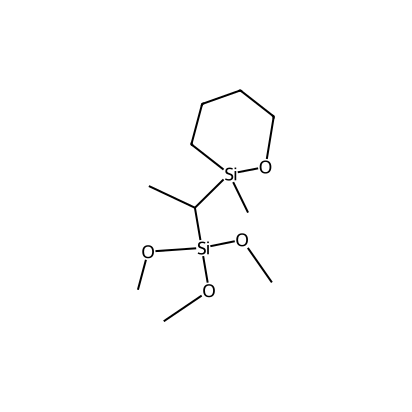 CO[Si](OC)(OC)C(C)[Si]1(C)CCCCO1